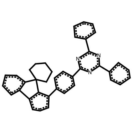 c1ccc(-c2nc(-c3ccccc3)nc(-c3ccc(-c4cccc5c4C4(CCCCC4)c4ccccc4-5)cc3)n2)cc1